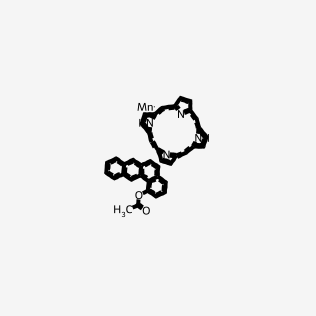 C1=Cc2cc3ccc(cc4nc(cc5ccc(cc1n2)[nH]5)C=C4)[nH]3.CC(=O)Oc1cccc2ccc3cc4ccccc4cc3c12.[Mn]